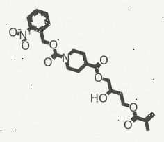 C=C(C)C(=O)OCCC(O)COC(=O)C1CCN(C(=O)OCc2ccccc2[N+](=O)[O-])CC1